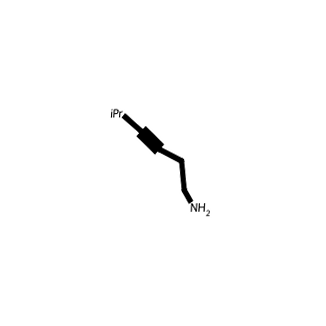 CC(C)C#CCCN